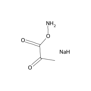 CC(=O)C(=O)ON.[NaH]